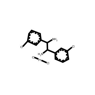 NC(c1cccc(Cl)c1)C(N)c1cccc(Cl)c1.[Cl][Pt][Cl]